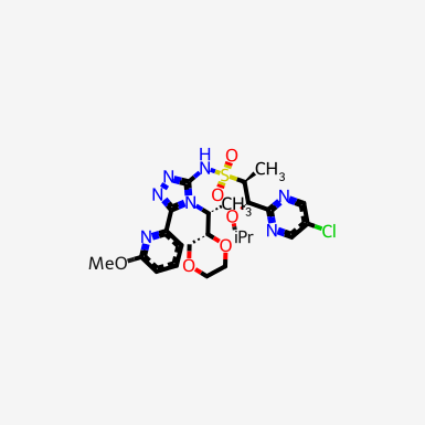 COc1cccc(-c2nnc(NS(=O)(=O)[C@@H](C)[C@@H](OC(C)C)c3ncc(Cl)cn3)n2[C@H](C)[C@H]2COCCO2)n1